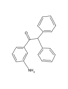 Nc1cccc(C(=O)C(c2ccccc2)c2ccccc2)c1